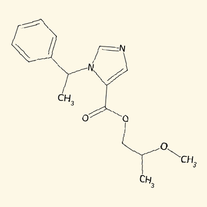 COC(C)COC(=O)c1cncn1C(C)c1ccccc1